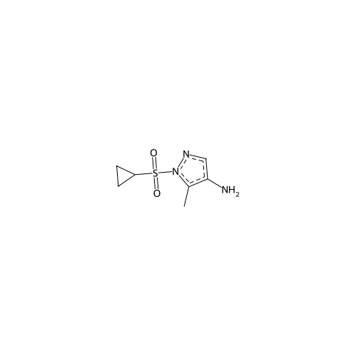 Cc1c(N)cnn1S(=O)(=O)C1CC1